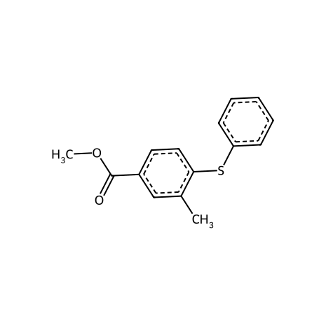 COC(=O)c1ccc(Sc2ccccc2)c(C)c1